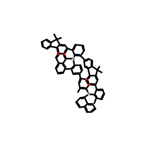 Cc1cc(-c2ccc(N(c3c(C)cccc3-c3ccc4c(c3)C(C)(C)c3ccccc3-4)c3cccc4ccccc34)c(C)c2)ccc1N(c1c(C)cccc1-c1ccc2c(c1)C(C)(C)c1ccccc1-2)c1cccc2ccccc12